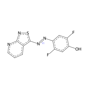 Oc1cc(F)c(/N=N/c2snc3ncccc23)cc1F